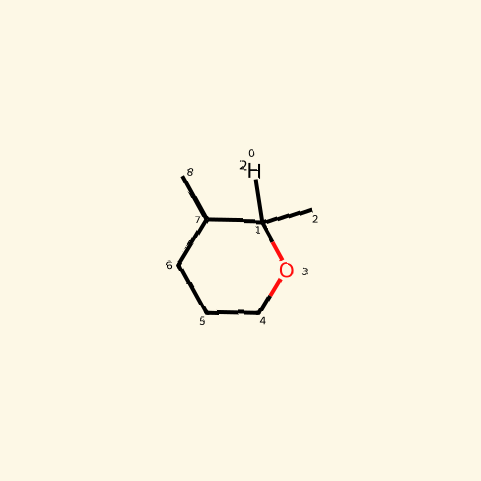 [2H]C1(C)OCCCC1C